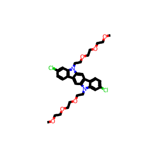 COCCOCCOCCn1c2cc(Cl)ccc2c2cc3c(cc21)c1ccc(Cl)cc1n3CCOCCOCCOC